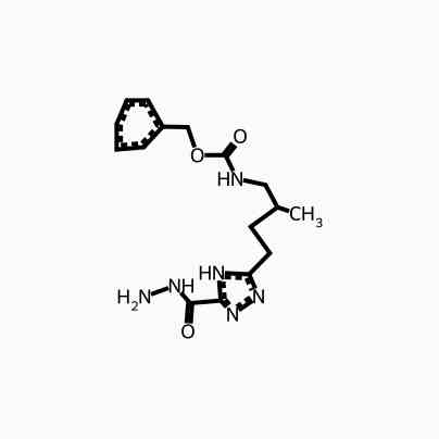 CC(CCc1nnc(C(=O)NN)[nH]1)CNC(=O)OCc1ccccc1